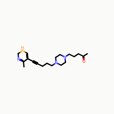 CC(=O)CCCN1CCN(CCCC#CC2=CPCN=C2C)CC1